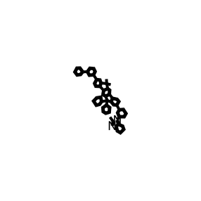 Cc1nc2ccccc2n1-c1cccc(-c2ccc3c(c2)C(c2ccccc2)(c2ccccc2)c2cc4c(cc2-3)C(C)(C)c2cc(-c3cccc(-c5ccccc5)c3)ccc2-4)c1